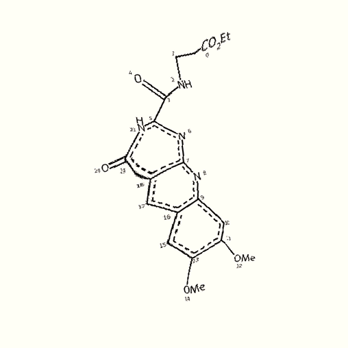 CCOC(=O)CNC(=O)c1nc2nc3cc(OC)c(OC)cc3cc2c(=O)[nH]1